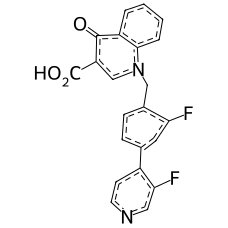 O=C(O)c1cn(Cc2ccc(-c3ccncc3F)cc2F)c2ccccc2c1=O